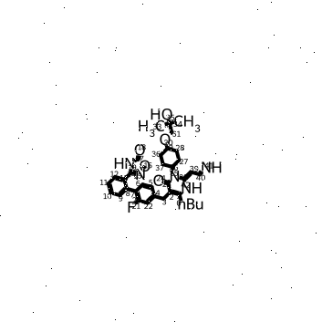 CCCCC1=C(Cc2ccc(-c3ccccc3-c3noc(=O)[nH]3)c(F)c2)C(=O)N(C2CCC(OCC(C)(C)O)CC2)/C(=C/C=N)N1